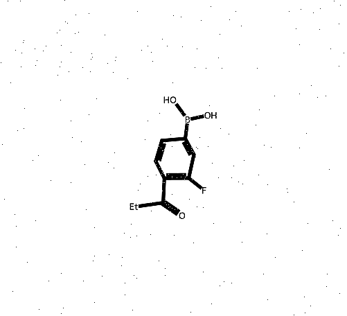 CCC(=O)c1ccc(B(O)O)cc1F